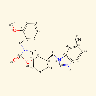 CCOc1ccccc1CN1C[C@@]2(CCC[C@H](Cn3cnc4ccc(C#N)cc43)C2)OC1=O